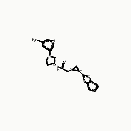 O=C(C[C@H]1C[C@H]1c1nc2ccccc2o1)N[C@@H]1CCN(c2cncc(C(F)(F)F)c2)C1